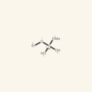 CCO[PH](O)(O)OC